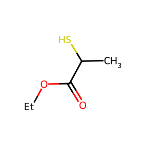 [CH2]COC(=O)C(C)S